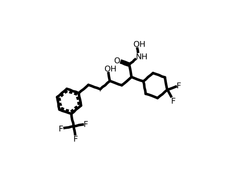 O=C(NO)C(CC(O)[CH]Cc1cccc(C(F)(F)F)c1)C1CCC(F)(F)CC1